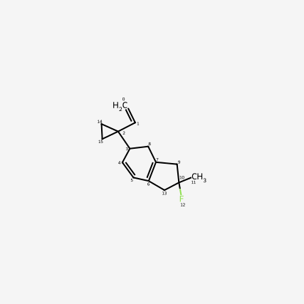 C=CC1(C2C=CC3=C(C2)CC(C)(F)C3)CC1